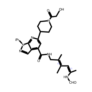 C/C(=C/C(C)=C(\C)CNC(=O)c1cc(C2CCN(C(=O)CO)CC2)nc2c1cnn2C(C)C)NC=O